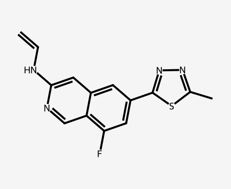 C=CNc1cc2cc(-c3nnc(C)s3)cc(F)c2cn1